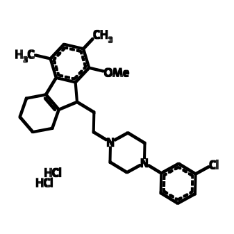 COc1c(C)cc(C)c2c1C(CCN1CCN(c3cccc(Cl)c3)CC1)C1=C2CCCC1.Cl.Cl